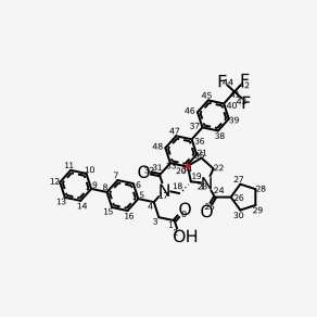 O=C(O)CC(c1ccc(-c2ccccc2)cc1)N(C[C@@H]1CCCN1C(=O)C1CCCC1)C(=O)c1ccc(-c2ccc(C(F)(F)F)cc2)cc1